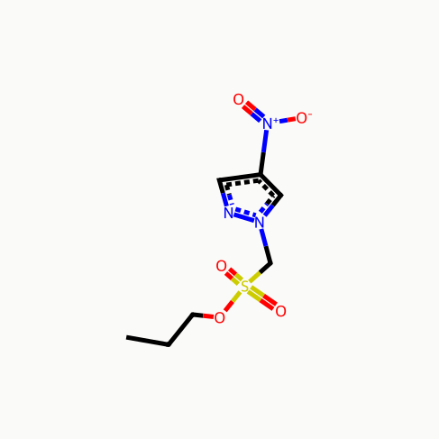 CCCOS(=O)(=O)Cn1cc([N+](=O)[O-])cn1